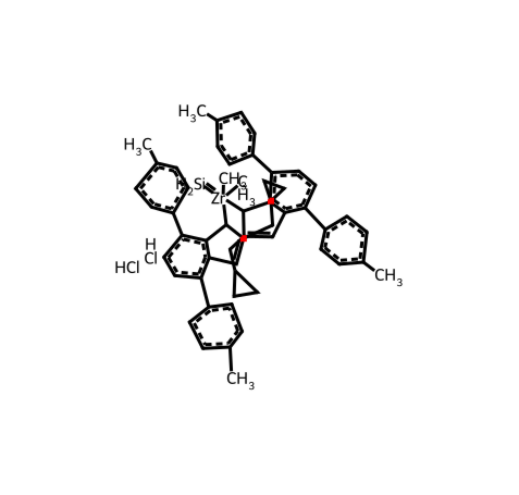 Cc1ccc(-c2ccc(-c3ccc(C)cc3)c3c2C=C(CC2CC2)[CH]3[Zr]([CH3])([CH3])(=[SiH2])[CH]2C(CC3CC3)=Cc3c(-c4ccc(C)cc4)ccc(-c4ccc(C)cc4)c32)cc1.Cl.Cl